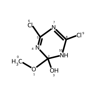 COC1(O)N=C(Cl)N=C(Cl)N1